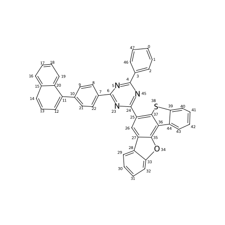 c1ccc(-c2nc(-c3ccc(-c4cccc5ccccc45)cc3)nc(-c3cc4c5ccccc5oc4c4c3sc3ccccc34)n2)cc1